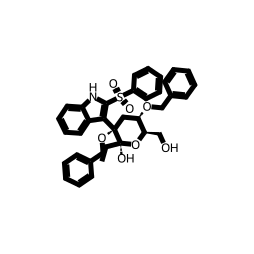 CC[C@]1(O)O[C@H](CO)[C@@H](OCc2ccccc2)C[C@]1(OCc1ccccc1)c1c(S(=O)(=O)c2ccccc2)[nH]c2ccccc12